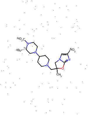 CC1(CN2CCC(N3CCN(C(=O)O)[C@@H](C(C)(C)C)C3)CC2)Cn2cc([N+](=O)[O-])nc2O1